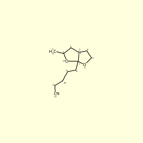 CC1CN2CCOC2(CCCCC#N)O1